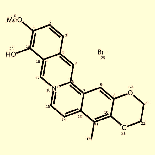 COc1ccc2cc3c4cc5c(c(C)c4cc[n+]3cc2c1O)OCCO5.[Br-]